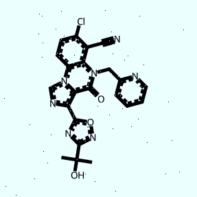 CC(C)(O)c1noc(-c2ncn3c2c(=O)n(Cc2ccccn2)c2c(C#N)c(Cl)ccc23)n1